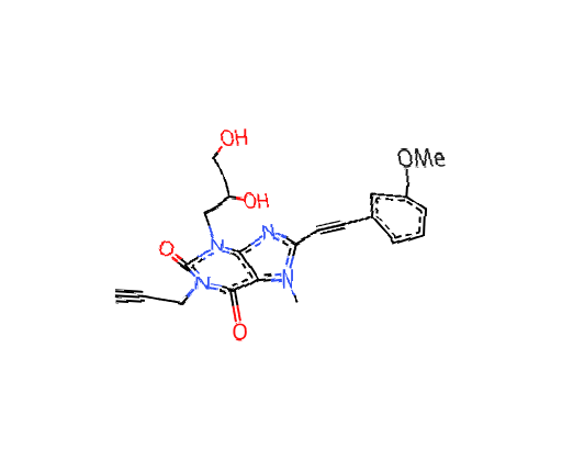 C#CCn1c(=O)c2c(nc(C#Cc3cccc(OC)c3)n2C)n(CC(O)CO)c1=O